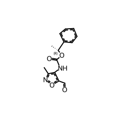 Cc1noc(C=O)c1NC(=O)O[C@H](C)c1ccccc1